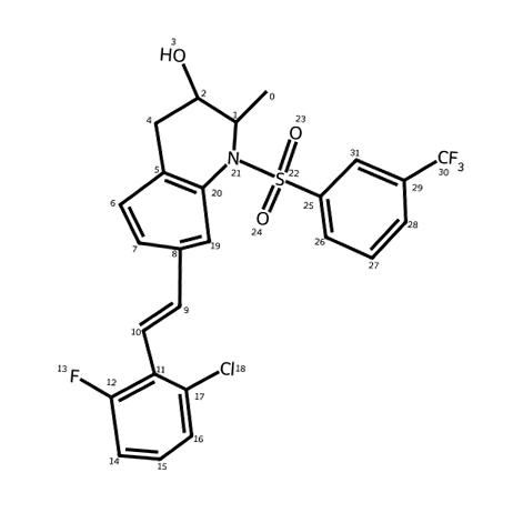 CC1C(O)Cc2ccc(C=Cc3c(F)cccc3Cl)cc2N1S(=O)(=O)c1cccc(C(F)(F)F)c1